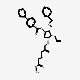 C=CC[C@@H]1[C@@H](COCc2ccccc2)[C@H](OC(=O)c2ccc(-c3ccccc3)cc2)C[C@@H]1OCC(=C)CCCC(=O)OCCC